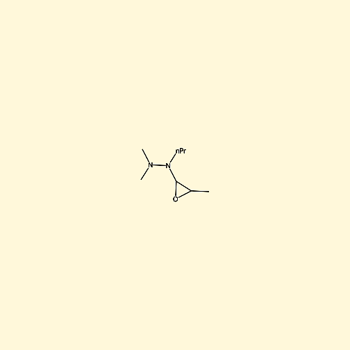 CCCN(C1OC1C)N(C)C